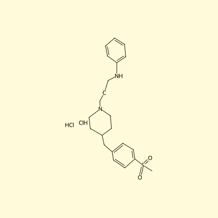 CS(=O)(=O)c1ccc(CC2CCN(CCCNc3ccccc3)CC2)cc1.Cl.Cl